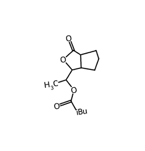 CCC(C)C(=O)OC(C)C1OC(=O)C2CCCC21